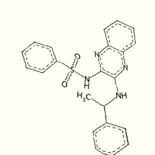 CC(Nc1nc2ccccc2nc1NS(=O)(=O)c1ccccc1)c1ccccc1